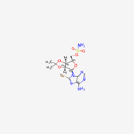 CC1(C)O[C@@H]2[C@H](O1)[C@@H](COS(N)(=O)=O)O[C@H]2n1c(Br)nc2c(N)ncnc21